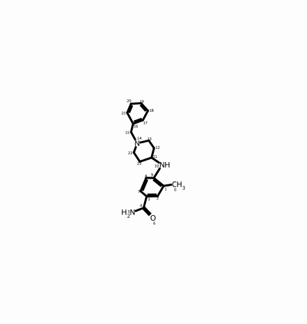 Cc1cc(C(N)=O)ccc1NC1CCN(Cc2ccccc2)CC1